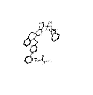 CNC(=O)NCc1ccccc1-c1ccc(CN2C(=O)[C@H](NC(=O)C(N)C(C)(C)Cc3cc4ccccc4o3)CCc3ccccc32)cc1